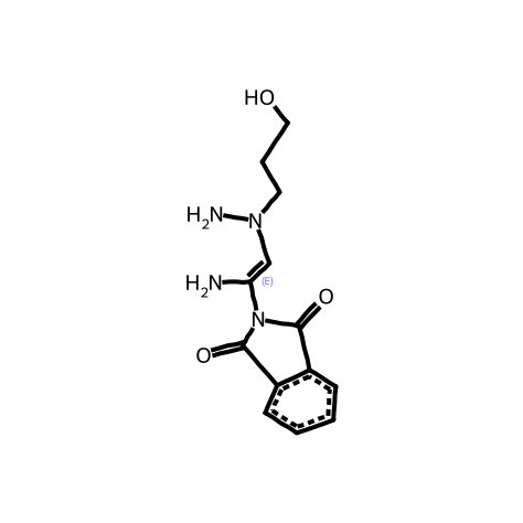 N/C(=C\N(N)CCCO)N1C(=O)c2ccccc2C1=O